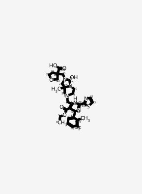 CCOC(=O)C1=C(CN2CCN3C(O)N(CC4(C(=O)O)CCOC4)CC3(C)C2)NC(c2nccs2)=NC1c1cccc(F)c1C